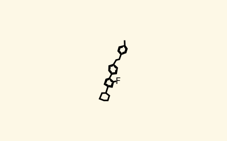 Cc1ccc(CCc2ccc(-c3ccc(C4CCCCC4)cc3F)cc2)cc1